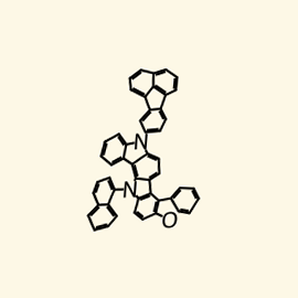 c1ccc2c(-n3c4ccc5oc6ccccc6c5c4c4ccc5c(c6ccccc6n5-c5ccc6c(c5)-c5cccc7cccc-6c57)c43)cccc2c1